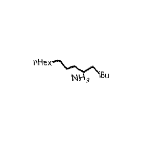 CCCCCCCCCCCC(C)CC.N